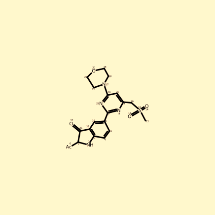 CC(=O)C1Nc2ccc(-c3nc(CS(C)(=O)=O)cc(N4CCOCC4)n3)cc2C1=O